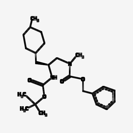 CC1CCC(C[C@@H](CN(C)C(=O)OCc2ccccc2)NC(=O)OC(C)(C)C)CC1